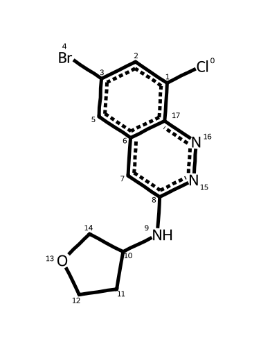 Clc1cc(Br)cc2cc(NC3CCOC3)nnc12